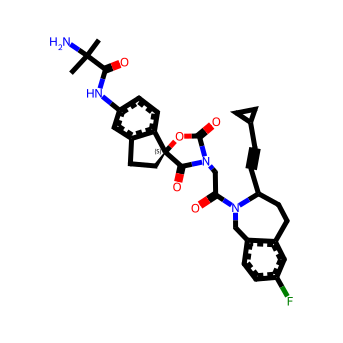 CC(C)(N)C(=O)Nc1ccc2c(c1)CC[C@]21OC(=O)N(CC(=O)N2Cc3ccc(F)cc3CCC2C#CC2CC2)C1=O